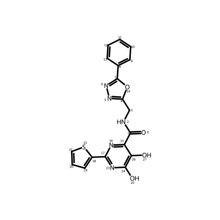 O=C(NCc1nnc(-c2ccccc2)o1)c1nc(-c2cccs2)nc(O)c1O